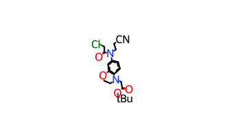 CC(C)(C)OC(=O)CN1CCOc2cc(N(CCC#N)C(=O)CCl)ccc21